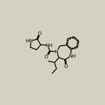 CCC(C)C1C(=O)Nc2ccccc2CN1C(=O)NC1CCNC1=O